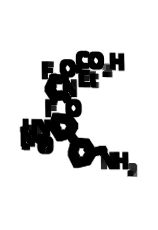 CC[C@@H](Oc1nc(Oc2cc(NC(=O)N(C)C)cc(-c3cccc(CN)c3)c2)c(F)cc1F)C(=O)O